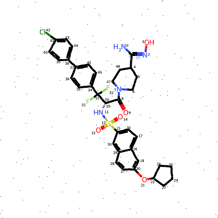 N/C(=N\O)C1CCN(C(=O)[C@H](NS(=O)(=O)c2ccc3cc(OC4CCCC4)ccc3c2)C(F)(F)c2ccc(-c3ccc(Cl)cc3)cc2)CC1